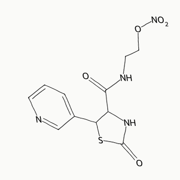 O=C1NC(C(=O)NCCO[N+](=O)[O-])C(c2cccnc2)S1